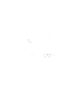 CNC1COCCN(C2CCCCCC2)C1=O